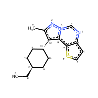 Cc1nn2cnc3ccsc3c2c1[C@H]1CC[C@H](CC#N)CC1